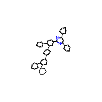 c1ccc(-c2cc(-c3ccccc3)nc(-c3ccc(-c4ccccc4)c(-c4ccc(-c5ccc6c(c5)-c5ccccc5C65CCCCC5)cc4)c3)n2)cc1